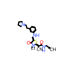 C#CCNC(=O)C(C#N)=c1sc(=CNc2cccc(CCN3CCCC3)c2)c(=O)n1CC